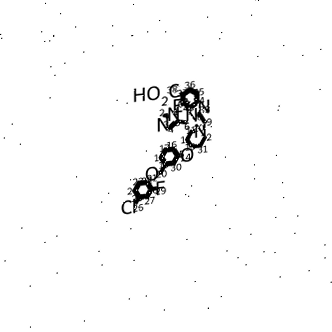 CCn1cncc1Cn1c(CN2CCC(Oc3cccc(COc4ccc(Cl)cc4F)c3)CC2)nc2ccc(C(=O)O)cc21